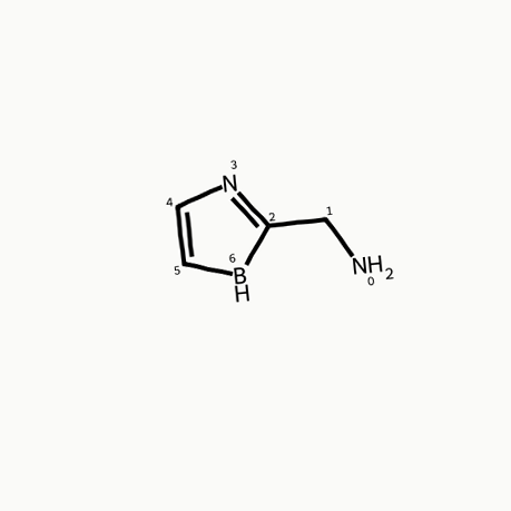 NCC1=NC=CB1